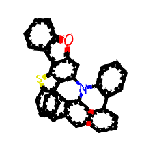 c1ccc(-c2ccccc2N(c2cccc3ccccc23)c2cc3oc4ccccc4c3c3sc4ccccc4c23)cc1